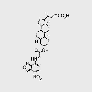 C[C@H](CCC(=O)O)C1CCC2C3CC[C@@H]4C[C@H](NC(=O)CNc5ccc([N+](=O)[O-])c6nonc56)CC[C@]4(C)C3CC[C@@]21C